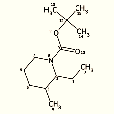 CCC1C(C)CCCN1C(=O)OC(C)(C)C